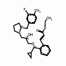 CCOC(=O)/C=C/c1ccccc1[C@@H](OC[C@H](O)CN1CCC[C@H]1Cc1ccc(C)c(F)c1)C1CC1